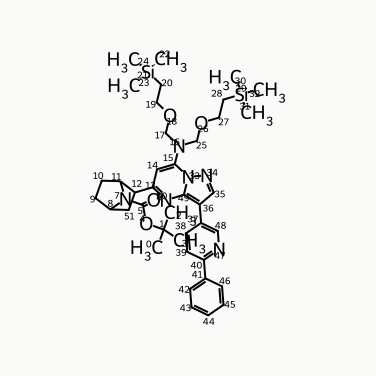 CC(C)(C)OC(=O)N1C2CCC1C(c1cc(N(COCC[Si](C)(C)C)COCC[Si](C)(C)C)n3ncc(-c4ccc(-c5ccccc5)nc4)c3n1)C2